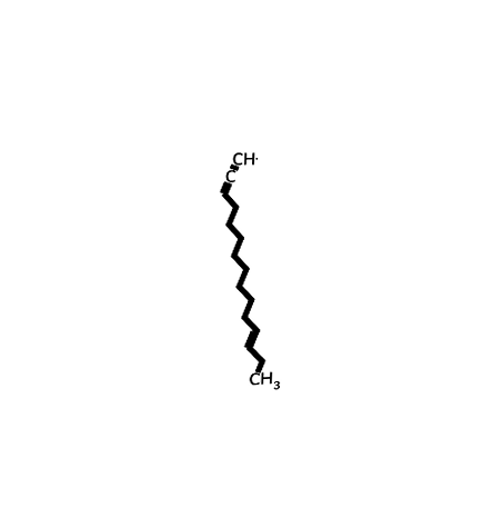 [CH]=C=CCCCCCCCCC=CCC